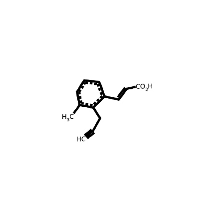 C#CCc1c(C)cccc1/C=C/C(=O)O